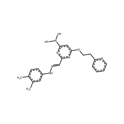 CCCN(CCC)c1cc(OCCc2ccccn2)nc(/C=N/Nc2ccc(C)c(C)c2)n1